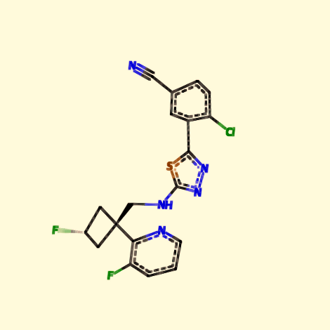 N#Cc1ccc(Cl)c(-c2nnc(NC[C@]3(c4ncccc4F)C[C@@H](F)C3)s2)c1